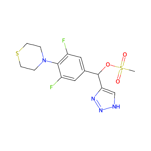 CS(=O)(=O)OC(c1cc(F)c(N2CCSCC2)c(F)c1)c1c[nH]nn1